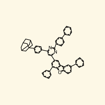 c1ccc(-c2ccc(-c3nc(-c4ccc(C56CC7CC(CC(C7)C5)C6)cc4)cc(-c4cc(-c5ccccc5)c5oc6ccc(-c7ccccc7)cc6c5c4)n3)cc2)cc1